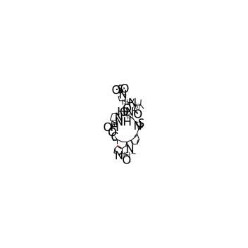 CCn1c(-c2cccnc2[C@H](C)OC)c2c3cc(ccc31)-c1csc(n1)C[C@H](NC(=O)[C@H](C(C)C)N(C)C(=O)[C@H]1CCN(S(C)(=O)=O)C1)C(=O)N1CCC[C@H](N1)C(=O)OCC(C)(C)C2